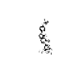 CC(C)(C)CC(=O)N1CCC2(CCN(c3ccc(OC(F)(F)F)cc3)C2=O)CC1=O